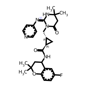 CC1(C)CC(=O)N(C[C@@H]2C[C@H]2C(=O)NC2CC(C)(C)Oc3ccc(F)cc32)/C(=N\c2ccncc2)N1